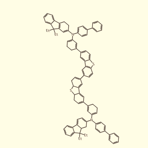 CCC1(CC)C2=C(CCC(N(C3=CCCC(c4ccc5sc6ccc(C7=CCC8SC9CC=C(C%10=CC(N(C%11=CC=C%12c%13ccccc%13C(CC)(CC)C%12C%11)c%11ccc(-c%12ccccc%12)cc%11)=CCC%10)C=C9C8=C7)cc6c5c4)=C3)c3ccc(-c4ccccc4)cc3)=C2)c2ccccc21